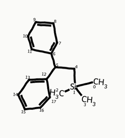 C[Si](C)(C)CC(c1ccccc1)c1ccccc1